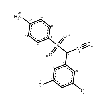 [C-]#[N+]C(c1cc(Cl)cc(Cl)c1)S(=O)(=O)c1ccc(C)cc1